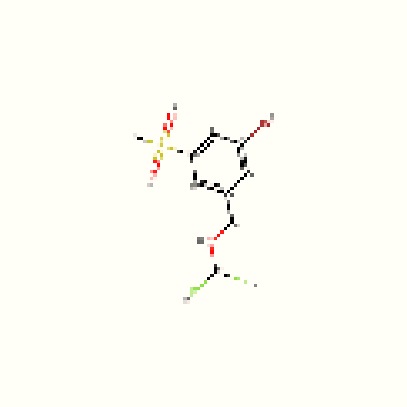 CS(=O)(=O)c1cc(Br)cc(COC(F)F)c1